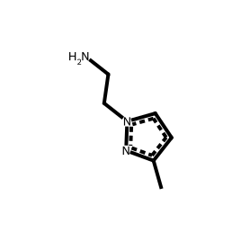 Cc1ccn(CCN)n1